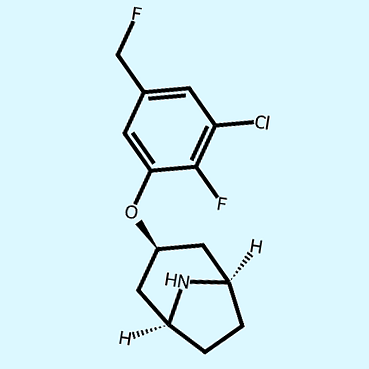 FCc1cc(Cl)c(F)c(O[C@H]2C[C@H]3CC[C@@H](C2)N3)c1